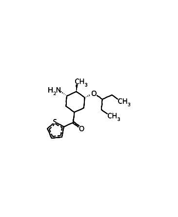 CCC(CC)O[C@@H]1CC(C(=O)c2cccs2)C[C@H](N)[C@H]1C